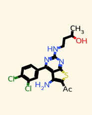 CC(=O)c1sc2nc(NCCC(C)O)nc(-c3ccc(Cl)c(Cl)c3)c2c1N